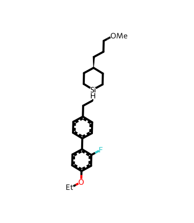 CCOc1ccc(-c2ccc(CC[Si@H]3CC[C@H](CCCOC)CC3)cc2)c(F)c1